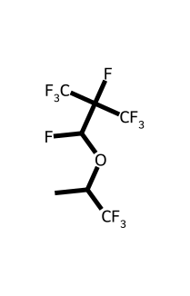 CC(OC(F)C(F)(C(F)(F)F)C(F)(F)F)C(F)(F)F